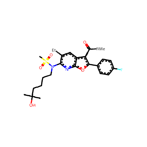 CCc1cc2c(C(=O)NC)c(-c3ccc(F)cc3)oc2nc1N(CCCCC(C)(C)O)S(C)(=O)=O